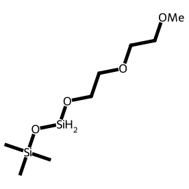 COCCOCCO[SiH2]O[Si](C)(C)C